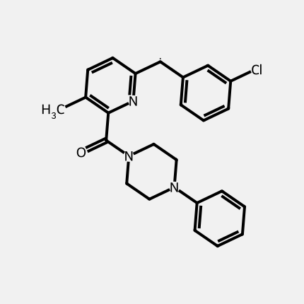 Cc1ccc([CH]c2cccc(Cl)c2)nc1C(=O)N1CCN(c2ccccc2)CC1